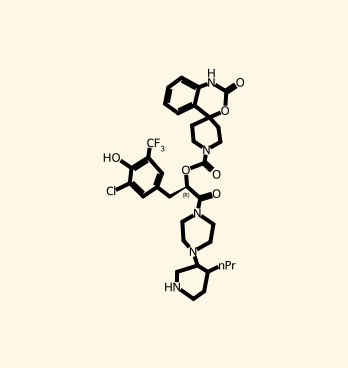 CCCC1CCNCC1N1CCN(C(=O)[C@@H](Cc2cc(Cl)c(O)c(C(F)(F)F)c2)OC(=O)N2CCC3(CC2)OC(=O)Nc2ccccc23)CC1